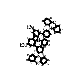 CC(C)(C)c1cc(-c2cccc(N3c4ccccc4Oc4ccccc43)c2)c2c(c1)c1cc(C(C)(C)C)cc(-c3cccc(N4c5ccccc5Oc5ccccc54)c3)c1n2-c1ccccc1